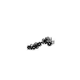 CC(C)(C)OC(=O)N(CCc1ccc(S(=O)(=O)c2ccc(CN3CCC[C@H]3C(=O)O)cc2)cc1)C[C@H](O)c1cccc(Cl)c1